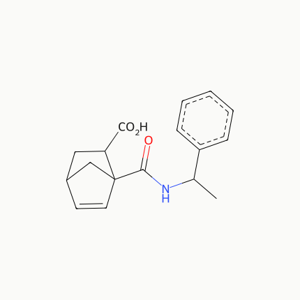 CC(NC(=O)C12C=CC(CC1C(=O)O)C2)c1ccccc1